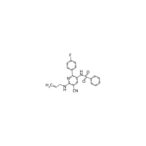 C=CCNc1nc(-c2ccc(F)cc2)c(NS(=O)(=O)c2ccccc2)cc1C#N